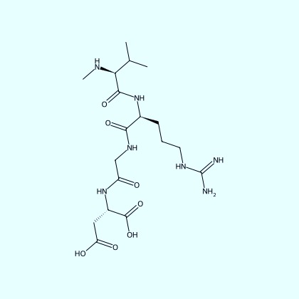 CN[C@H](C(=O)N[C@@H](CCCNC(=N)N)C(=O)NCC(=O)N[C@@H](CC(=O)O)C(=O)O)C(C)C